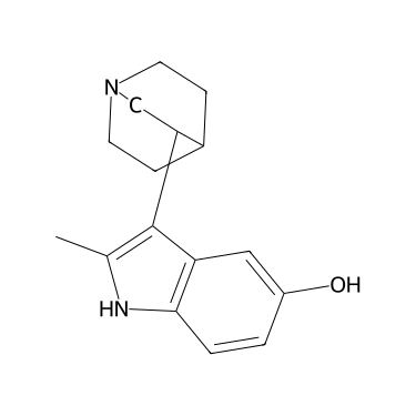 Cc1[nH]c2ccc(O)cc2c1C1CN2CCC1CC2